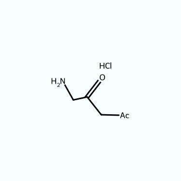 CC(=O)CC(=O)CN.Cl